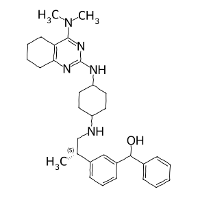 C[C@H](CNC1CCC(Nc2nc3c(c(N(C)C)n2)CCCC3)CC1)c1cccc(C(O)c2ccccc2)c1